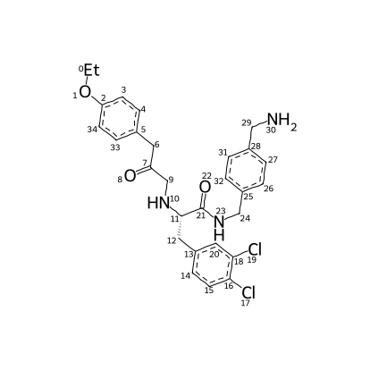 CCOc1ccc(CC(=O)CN[C@@H](Cc2ccc(Cl)c(Cl)c2)C(=O)NCc2ccc(CN)cc2)cc1